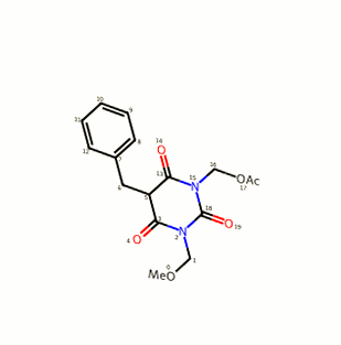 COCN1C(=O)C(Cc2ccccc2)C(=O)N(COC(C)=O)C1=O